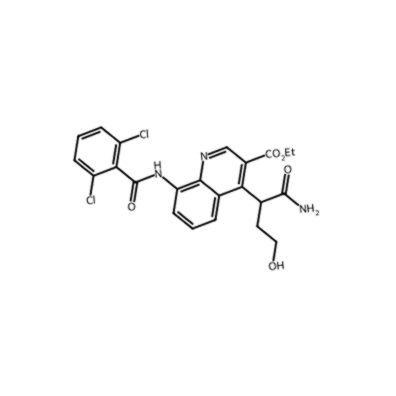 CCOC(=O)c1cnc2c(NC(=O)c3c(Cl)cccc3Cl)cccc2c1C(CCO)C(N)=O